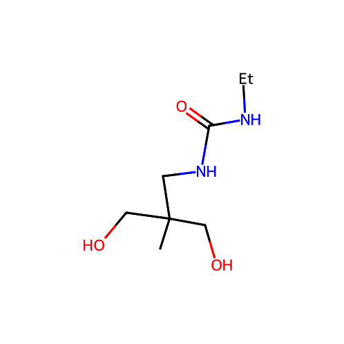 CCNC(=O)NCC(C)(CO)CO